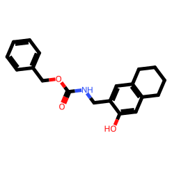 O=C(NCc1cc2c(cc1O)CCCC2)OCc1ccccc1